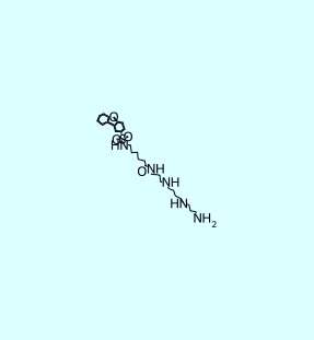 NCCCNCCCCNCCCNC(=O)CCCCCNS(=O)(=O)c1ccc2oc3ccccc3c2c1